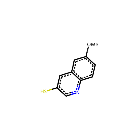 COc1ccc2ncc(S)cc2c1